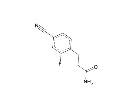 N#Cc1ccc(CCC(N)=O)c(F)c1